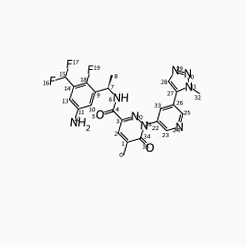 Cc1cc(C(=O)N[C@H](C)c2cc(N)cc(C(F)F)c2F)nn(-c2cncc(-c3cnnn3C)c2)c1=O